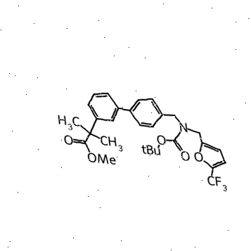 COC(=O)C(C)(C)c1cccc(-c2ccc(CN(Cc3ccc(C(F)(F)F)o3)C(=O)OC(C)(C)C)cc2)c1